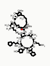 COc1cc2cc(c1Cl)N(C)C(=O)C[C@H](OC(=O)[C@H](C)N(C)C(=O)CCSSC[C@H](NC(=O)[C@@H]1CSSC[C@H](NC(=O)[C@H](N)Cc3ccccc3)C(=O)N[C@@H](Cc3ccc(O)cc3)C(=O)N[C@H](Cc3c[nH]c4ccccc34)C(=O)N[C@@H](CCCCN)C(=O)N[C@@H]([C@@H](C)O)C(=O)N1)C(N)=O)[C@@]1(C)CC(C)(O1)[C@@H]1C[C@@](O)(NC(=O)O1)[C@H](OC)/C=C/C=C(\C)C2